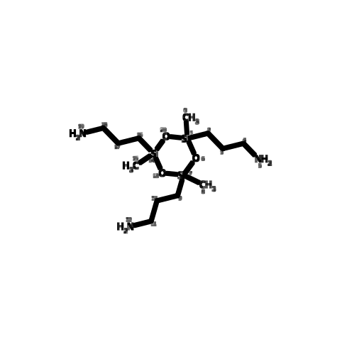 C[Si]1(CCCN)O[Si](C)(CCCN)O[Si](C)(CCCN)O1